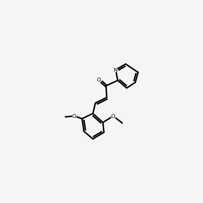 COc1cccc(OC)c1/C=C/C(=O)c1ccccn1